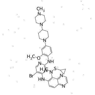 COc1cc(N2CCC(N3CCN(C)CC3)CC2)ccc1Nc1ncc(Br)c(Nc2ccc3nccnc3c2N(C)SC2CC2)n1